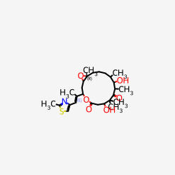 C/C(=C\c1csc(C)n1)C1CC2O[C@]2(C)CCCC(C)C(O)C(C)C(=O)C(C)(C)C(O)CC(=O)O1